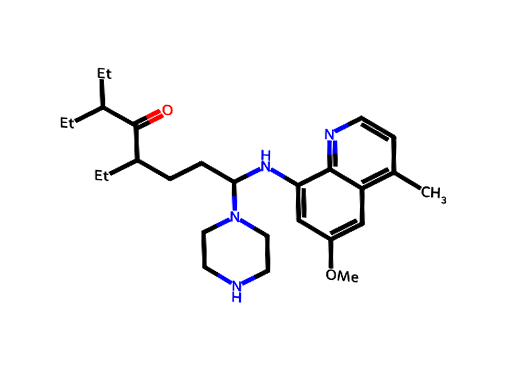 CCC(CC)C(=O)C(CC)CCC(Nc1cc(OC)cc2c(C)ccnc12)N1CCNCC1